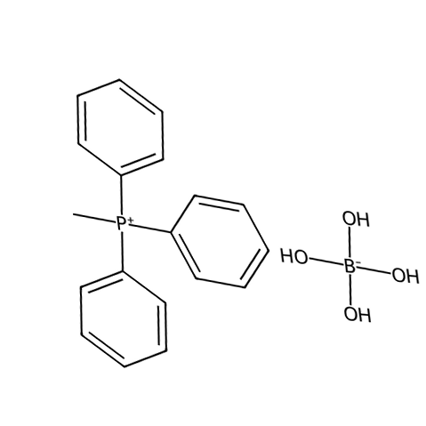 C[P+](c1ccccc1)(c1ccccc1)c1ccccc1.O[B-](O)(O)O